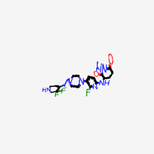 O=C1CCC(Nc2ccc(N3CCN(C4CCNCC4(F)F)CC3)c(F)n2)C(=O)N1